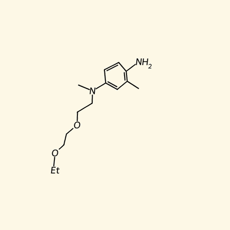 CCOCCOCCN(C)c1ccc(N)c(C)c1